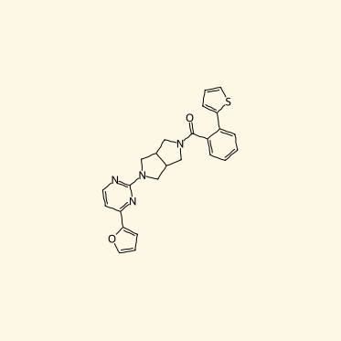 O=C(c1ccccc1-c1cccs1)N1CC2CN(c3nccc(-c4ccco4)n3)CC2C1